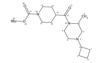 CC1CN(C2CCC2)CCN1C(=O)C1CCN(C(=O)OC(C)(C)C)CC1